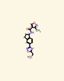 CCc1nc(-c2ccc3c(c2)CCC3NC(=O)c2conc2C)no1